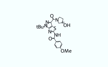 COc1ccc(C(=O)Nc2nc3c(s2)c(C(=O)N2CC[C@H](O)C2)nn3C(C)(C)C)cc1